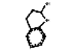 [NH]C1CCc2ccccc2N1